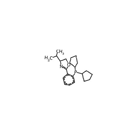 CC(C)C1COC(c2ccccc2P(C2CCCC2)C2CCCC2)=N1